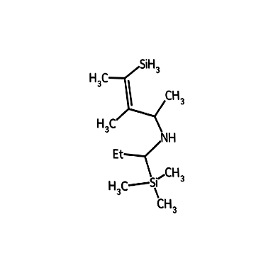 CCC(NC(C)C(C)=C(C)[SiH3])[Si](C)(C)C